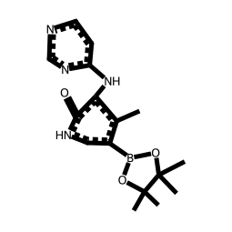 Cc1c(B2OC(C)(C)C(C)(C)O2)c[nH]c(=O)c1Nc1ccncn1